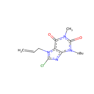 C=CCn1c(Cl)nc2c1c(=O)n(C)c(=O)n2CCCC